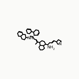 C/C(=C\CC(CNC1CCC2CCC=CC2C1)[C@H]1C=CCCC1C1C=CCCC1)C1CCC([C@@H](N)C/C=C/C2CC=NC2)C2CCCCC12